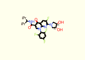 CC(C)C(NC(=O)c1cn(-c2c(F)cc(F)cc2F)c2nc(N3C[C@@H](O)[C@H](O)C3)c(F)cc2c1=O)C(C)C